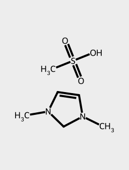 CN1C=CN(C)C1.CS(=O)(=O)O